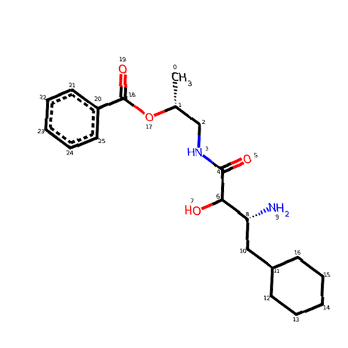 C[C@H](CNC(=O)C(O)[C@H](N)CC1CCCCC1)OC(=O)c1ccccc1